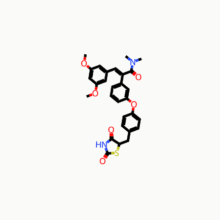 COc1cc(/C=C(/C(=O)N(C)C)c2cccc(Oc3ccc(CC4SC(=O)NC4=O)cc3)c2)cc(OC)c1